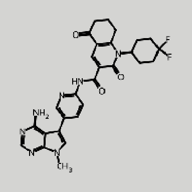 Cn1cc(-c2ccc(NC(=O)c3cc4c(n(C5CCC(F)(F)CC5)c3=O)CCCC4=O)nc2)c2c(N)ncnc21